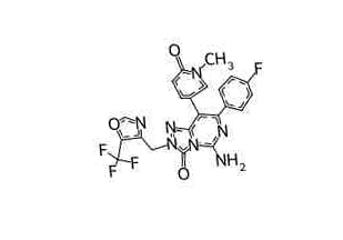 Cn1cc(-c2c(-c3ccc(F)cc3)nc(N)n3c(=O)n(Cc4ncoc4C(F)(F)F)nc23)ccc1=O